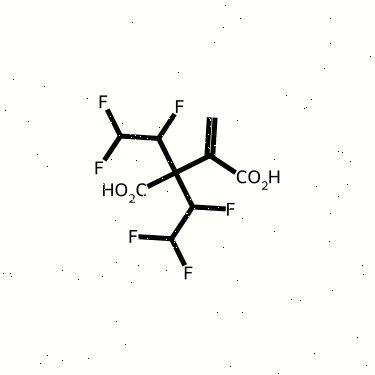 C=C(C(=O)O)C(C(=O)O)(C(F)C(F)F)C(F)C(F)F